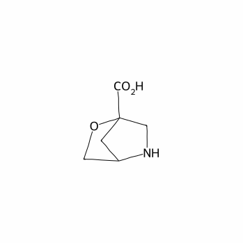 O=C(O)C12CNC(CO1)C2